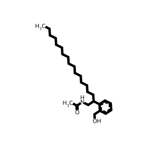 CCCCCCCCCCCCCCCCC(CNC(C)=O)c1ccccc1CO